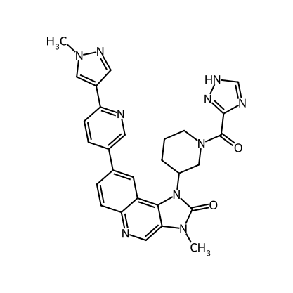 Cn1cc(-c2ccc(-c3ccc4ncc5c(c4c3)n(C3CCCN(C(=O)c4nc[nH]n4)C3)c(=O)n5C)cn2)cn1